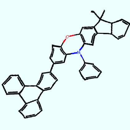 CC1(C)c2cc3c(cc2C2C=CC=CC21)N(c1ccccc1)c1cc(-c2ccc4c5ccccc5c5ccccc5c4c2)ccc1O3